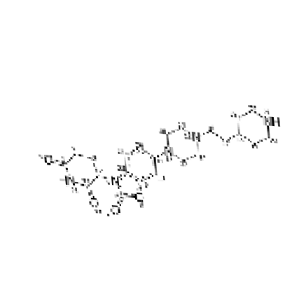 O=C1CCC(n2c(=O)oc3cc(N4CCN(CCC5CCNCC5)CC4)ccc32)C(=O)N1